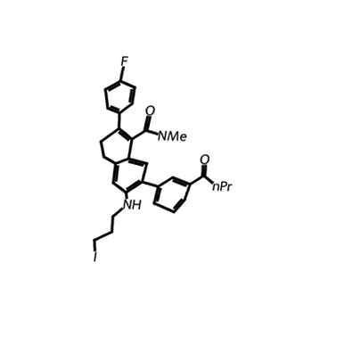 CCCC(=O)c1cccc(-c2cc3c(cc2NCCCI)CCC(c2ccc(F)cc2)=C3C(=O)NC)c1